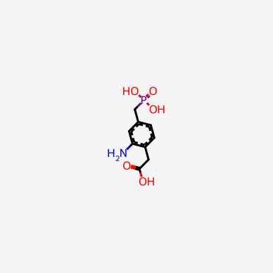 Nc1cc(CP(=O)(O)O)ccc1CC(=O)O